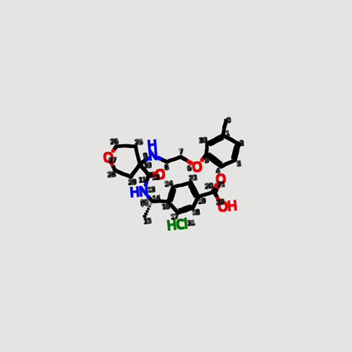 Cc1cccc(OCCNC2(C(=O)N[C@@H](C)c3ccc(C(=O)O)cc3)CCOCC2)c1.Cl